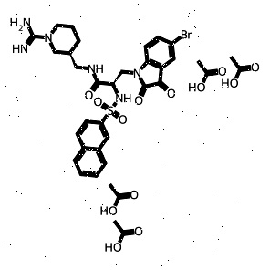 CC(=O)O.CC(=O)O.CC(=O)O.CC(=O)O.N=C(N)N1CCC[C@@H](CNC(=O)[C@@H](CN2C(=O)C(=O)c3cc(Br)ccc32)NS(=O)(=O)c2ccc3ccccc3c2)C1